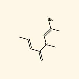 C=C(/C=C/C)N(C)/C=C(\C)C(C)(C)C